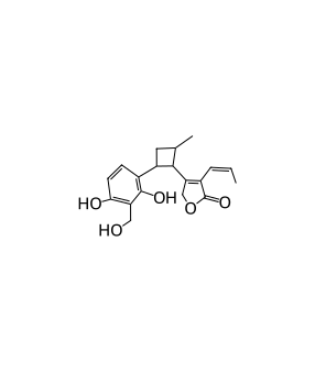 C/C=C\C1=C(C2C(C)CC2c2ccc(O)c(CO)c2O)COC1=O